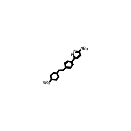 CCCCc1ccc(-c2ccc(CCC3CCC(CCCC)CC3)cc2)nn1